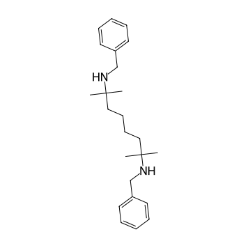 CC(C)(CCCCC(C)(C)NCc1ccccc1)NCc1ccccc1